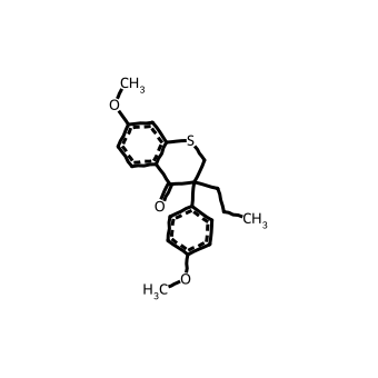 CCCC1(c2ccc(OC)cc2)CSc2cc(OC)ccc2C1=O